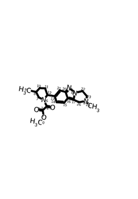 COC(=O)C(=O)N1CC(C)CCC1c1ccc2c3n(nc2c1)CCN(C)C3